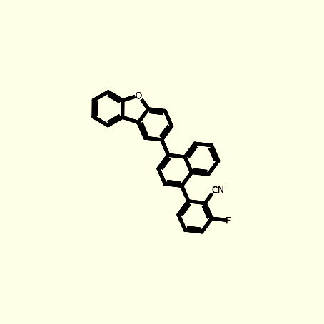 N#Cc1c(F)cccc1-c1ccc(-c2ccc3oc4ccccc4c3c2)c2ccccc12